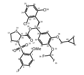 COc1ccc(F)cc1S(=O)(=O)N1CCS[C@H]1C(=O)O[C@@H](Cc1c(Cl)cncc1Cl)c1ccc(OC(F)F)c(OCC2CC2)c1